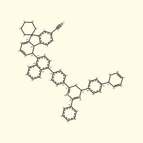 N#Cc1ccc2c(c1)C1(CCCCC1)C1=CC=CC(c3ccc(-c4ccc(C5=NC(c6ccccc6)=NC(c6ccc(C7C=CC=CC7)cc6)C5)cc4)c4ccccc34)C12